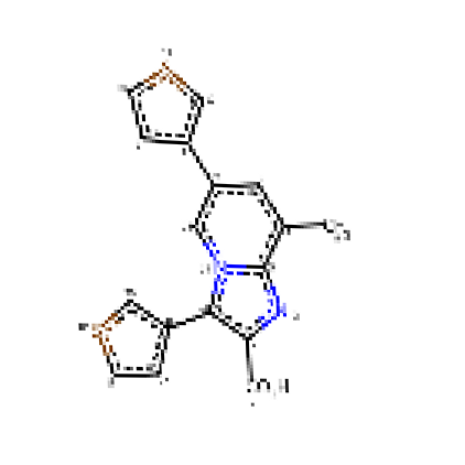 O=C(O)c1nc2c(C(F)(F)F)cc(-c3ccsc3)cn2c1-c1ccsc1